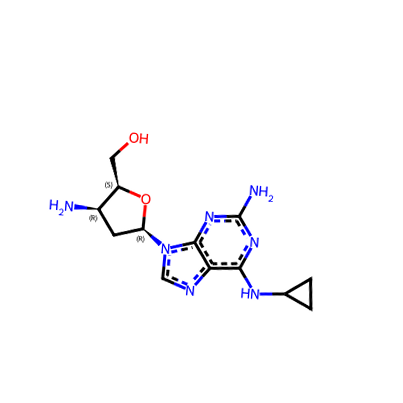 Nc1nc(NC2CC2)c2ncn([C@H]3C[C@@H](N)[C@@H](CO)O3)c2n1